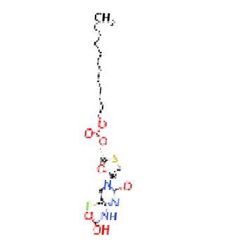 CCCCCCCCCCCCOC(=O)OC[C@H]1O[C@@H](n2cc(F)c(NC(=O)O)nc2=O)CS1